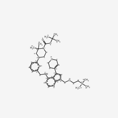 CC(C)(C)OC(=O)N1CCN(c2cccc(CNc3ncnc4c3c(C3=CCOCC3)cn4COCC[Si](C)(C)C)n2)CC1(C)C